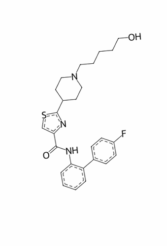 O=C(Nc1ccccc1-c1ccc(F)cc1)c1csc(C2CCN(CCCCCO)CC2)n1